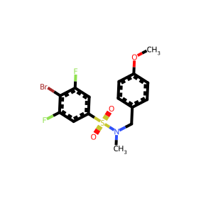 COc1ccc(CN(C)S(=O)(=O)c2cc(F)c(Br)c(F)c2)cc1